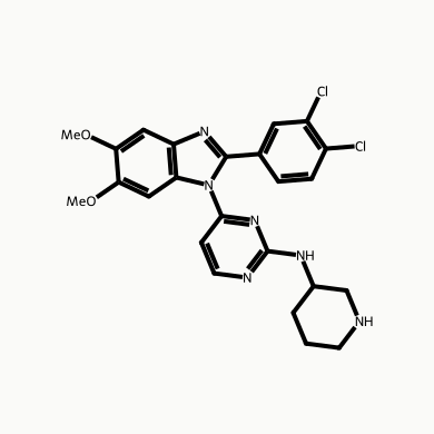 COc1cc2nc(-c3ccc(Cl)c(Cl)c3)n(-c3ccnc(NC4CCCNC4)n3)c2cc1OC